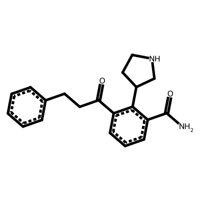 NC(=O)c1cccc(C(=O)CCc2ccccc2)c1C1CCNC1